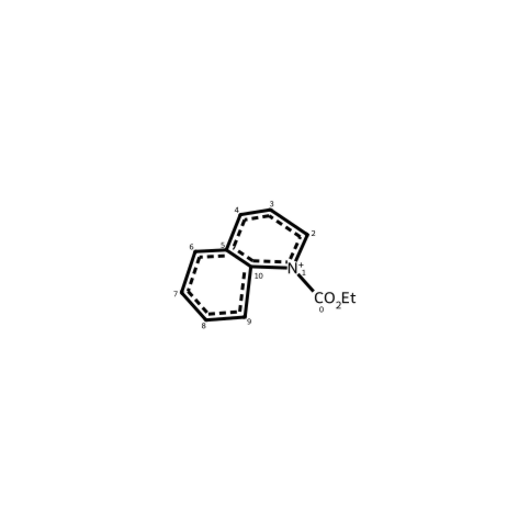 CCOC(=O)[n+]1cccc2ccccc21